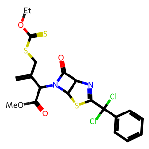 C=C(CSC(=S)OCC)C(C(=O)OC)N1C(=O)C2N=C(C(Cl)(Cl)c3ccccc3)SC21